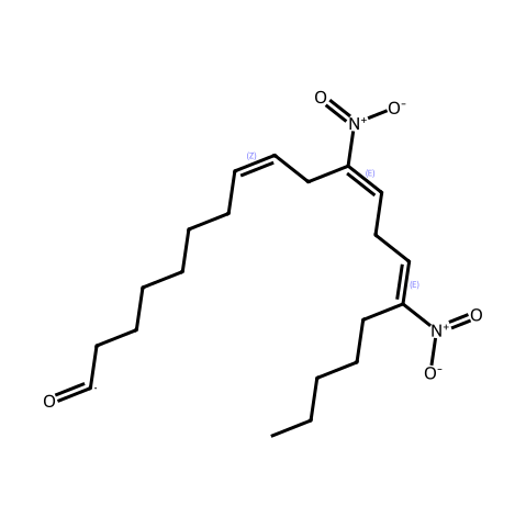 CCCCC/C(=C\C/C=C(\C/C=C\CCCCCC[C]=O)[N+](=O)[O-])[N+](=O)[O-]